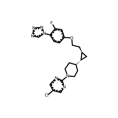 Fc1cc(OCC[C@H]2C[C@@H]2C2CCN(c3ncc(Cl)cn3)CC2)ccc1-n1cnnn1